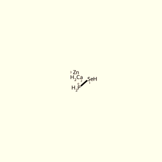 P[SeH].[CaH2].[Zn]